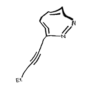 CCC#Cc1cccnn1